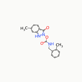 Cc1ccc2c(=O)n(OC(=O)NCc3ccccc3C)[nH]c2c1